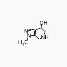 Cn1ncc2c1CNCC2O